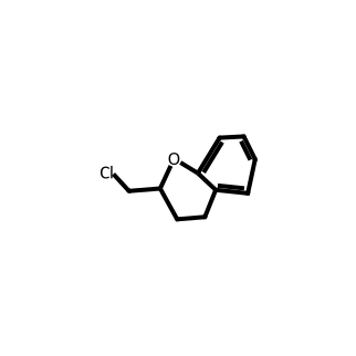 ClCC1CCc2ccccc2O1